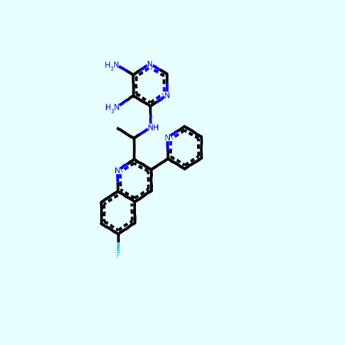 CC(Nc1ncnc(N)c1N)c1nc2ccc(F)cc2cc1-c1ccccn1